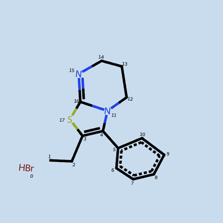 Br.CCC1=C(c2ccccc2)N2CCCN=C2S1